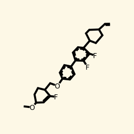 C=CC1CCC(c2ccc(-c3ccc(OCC4CCC(OC)C=C4F)cc3)c(F)c2F)CC1